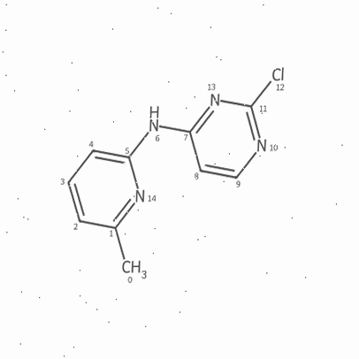 Cc1cccc(Nc2ccnc(Cl)n2)n1